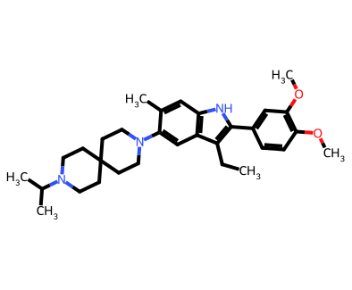 CCc1c(-c2ccc(OC)c(OC)c2)[nH]c2cc(C)c(N3CCC4(CC3)CCN(C(C)C)CC4)cc12